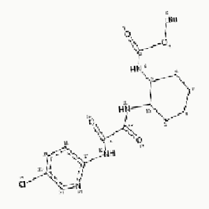 CC(C)(C)OC(=O)NC1CCCCC1NC(=O)C(=O)Nc1ccc(Cl)cn1